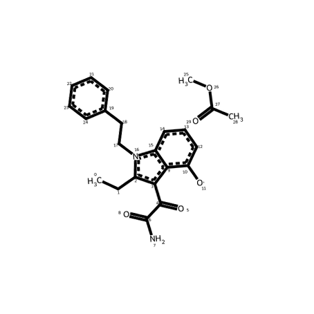 CCc1c(C(=O)C(N)=O)c2c([O])cccc2n1CCc1ccccc1.COC(C)=O